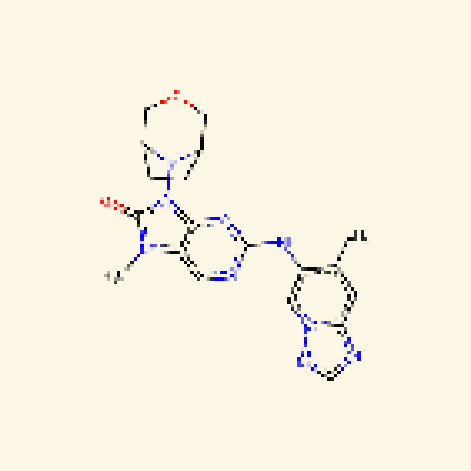 Cc1cc2ncnn2cc1Nc1ncc2c(n1)n(N1C3CCC1COC3)c(=O)n2C